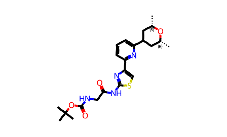 C[C@@H]1CC(c2cccc(-c3csc(NC(=O)CNC(=O)OC(C)(C)C)n3)n2)C[C@H](C)O1